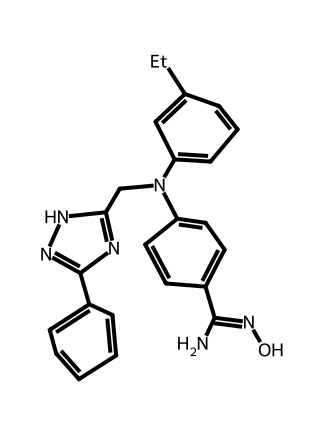 CCc1cccc(N(Cc2nc(-c3ccccc3)n[nH]2)c2ccc(C(N)=NO)cc2)c1